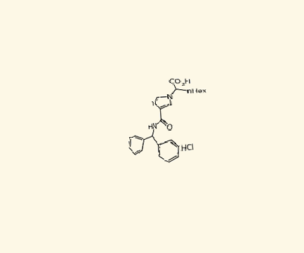 CCCCCCC(C(=O)O)n1cnc(C(=O)NC(c2ccccc2)c2ccccc2)c1.Cl